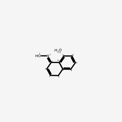 O.ON=C1C=CCc2ccccc21